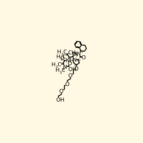 C[C@@H](C(=O)N[C@H](C(=O)N1C[C@@H](OCCOCCOCCOCCO)C[C@H]1C(=O)N[C@@H]1CCCc2ccccc21)C(C)(C)C)N(C)C(=O)O